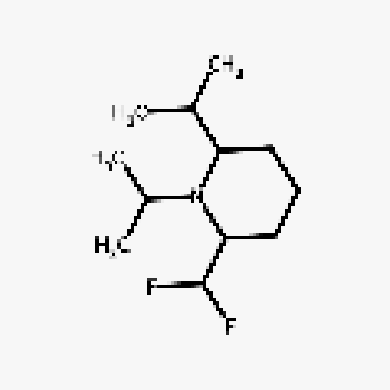 CC(C)C1CCCC(C(F)F)N1C(C)C